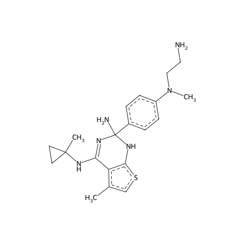 Cc1csc2c1C(NC1(C)CC1)=NC(N)(c1ccc(N(C)CCN)cc1)N2